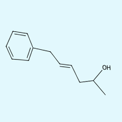 CC(O)CC=CCc1ccccc1